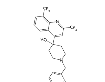 OC1(c2cc(C(F)(F)F)nc3c(C(F)(F)F)cccc23)CCN(Cc2ccccc2)CC1